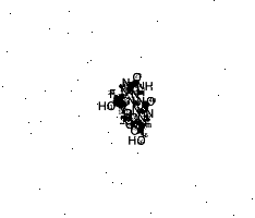 Nc1nc2c(ncn2[C@]2(OP(O)(=S)OC[C@H]3O[C@@H](n4cnc5c(=O)[nH]cnc54)[C@@H](F)[C@@H]3O)CO[C@H](CO)[C@H]2F)c(=O)[nH]1